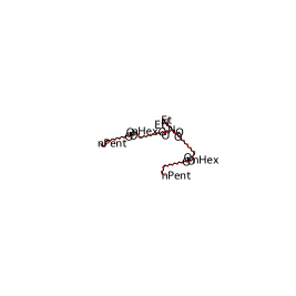 CCCCC/C=C\C/C=C\CCCCCCCCOC(=O)OC(C/C=C\CCCCCCCCOC(=O)CCN(CCCN(CC)CC)CCC(=O)OCCCCCCCC/C=C\CC(CCCCCC)OC(=O)OCCCCCCCC/C=C\C/C=C\CCCCC)CCCCCC